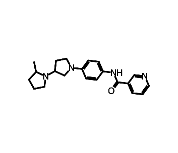 CC1CCCN1C1CCN(c2ccc(NC(=O)c3cccnc3)cc2)C1